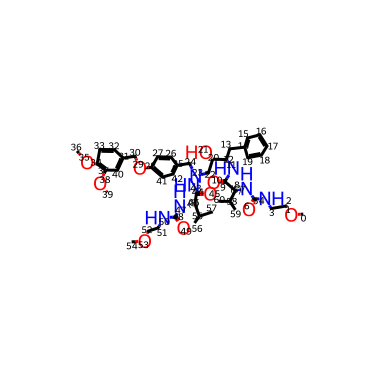 COCCNC(=O)N[C@H](C(=O)NC(Cc1ccccc1)C(O)CN(Cc1ccc(OCc2ccc(OC)c(OC)c2)cc1)NC(=O)[C@@H](NC(=O)NCCOC)C(C)C)C(C)C